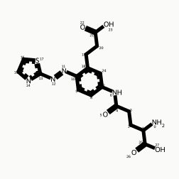 NC(CCC(=O)Nc1ccc(N=Nc2nccs2)c(CCC(=O)O)c1)C(=O)O